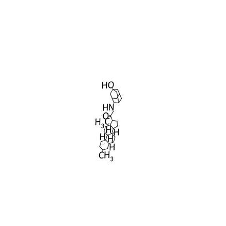 C[C@H]1CC[C@H]2[C@H](CC[C@@H]3[C@@H]2CC[C@]2(C)[C@@H](C(=O)CNC4C5CC6CC4CC(O)(C6)C5)CC[C@@H]32)C1